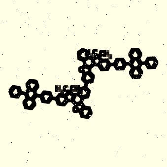 CC1(C)c2cc(-c3ccc(-c4c5ccccc5c(-c5ccccc5)c5ccccc45)cc3)ccc2-c2c1c1ccccc1c1oc3cc(-c4ccc5c(c4)c4c(c6oc7ccccc7c65)-c5ccc(-c6ccc(-c7c8ccccc8c(-c8ccccc8)c8ccccc78)cc6)cc5C4(C)C)ccc3c21